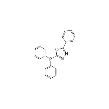 c1ccc(-c2nnc(P(c3ccccc3)c3ccccc3)o2)cc1